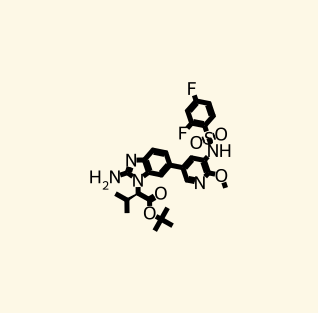 COc1ncc(-c2ccc3nc(N)n([C@@H](C(=O)OC(C)(C)C)C(C)C)c3c2)cc1NS(=O)(=O)c1ccc(F)cc1F